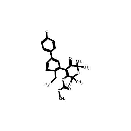 CCc1ccc(-c2ccc(Cl)cc2)cc1C1=C(OC(=O)OC)C(C)(C)OC(C)(C)C1=O